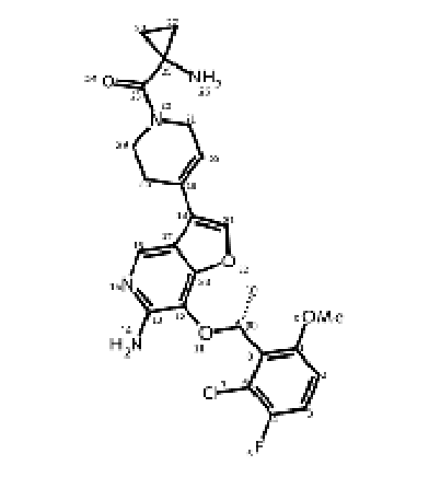 COc1ccc(F)c(Cl)c1[C@@H](C)Oc1c(N)ncc2c(C3=CCN(C(=O)C4(N)CC4)CC3)coc12